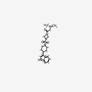 CN(C)CC(=O)N1CC(S(=O)(=O)N2CCC(c3c[nH]c4ncccc34)CC2)C1